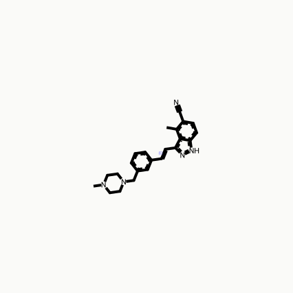 Cc1c(C#N)ccc2[nH]nc(/C=C/c3cccc(CN4CCN(C)CC4)c3)c12